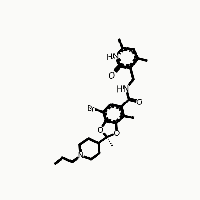 CCCN1CCC([C@@]2(C)Oc3c(Br)cc(C(=O)NCc4c(C)cc(C)[nH]c4=O)c(C)c3O2)CC1